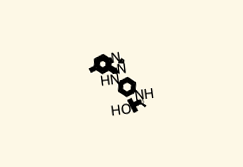 Cc1ccc2ncnc(NC3CCC(N[C@@H](C)C(C)(C)O)CC3)c2c1